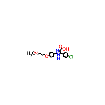 COCCCCOc1ccc(-c2nc(C(=O)O)c(-c3ccc(Cl)cc3)[nH]2)cc1